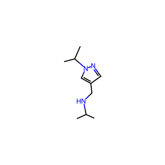 CC(C)NCc1cnn(C(C)C)c1